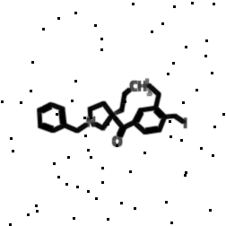 CCC[C@]1(C(=O)c2ccc(CI)c(CI)c2)CCN(Cc2ccccc2)C1